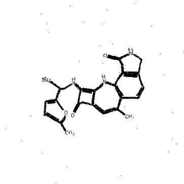 CC1=C=C2C(=O)C(NC(c3ccc(C)o3)C(C)(C)C)=C2Nc2c1ccc1c2C(=O)NC1